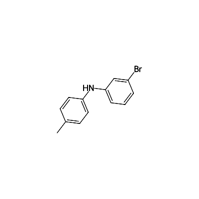 Cc1ccc(Nc2cccc(Br)c2)cc1